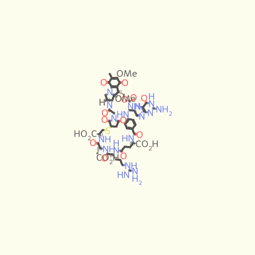 COC1=C(C)C(=O)C2=C(C1=O)[C@H](COC(N)=O)[C@]1(OC)C3[C@@H](CN21)N3C(=O)CN1C(=O)CC(SC[C@@H](NC(=O)[C@@H](CC(=O)O)NC(=O)[C@@H](CCCNC(=N)N)NC(=O)CC[C@@H](NC(=O)c2ccc(NCc3cnc4nc(N)[nH]c(=O)c4n3)cc2)C(=O)O)C(=O)O)C1=O